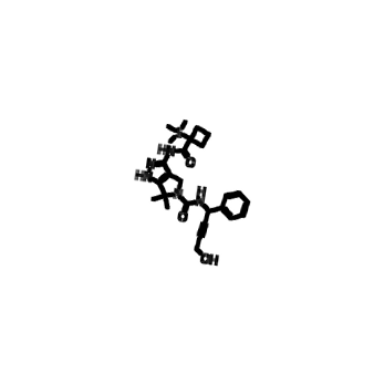 CC1(C)c2[nH]nc(NC(=O)C3(S(C)(C)C)CCC3)c2CN1C(=O)NC(C#CCO)c1ccccc1